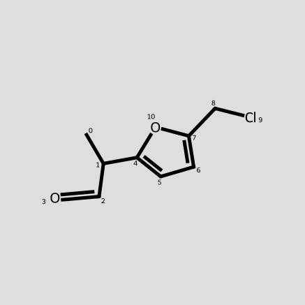 CC(C=O)c1ccc(CCl)o1